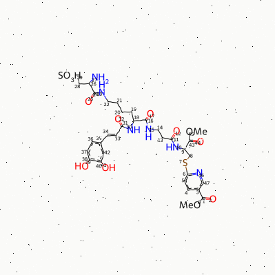 COC(=O)c1ccc(SCC(NC(=O)CCNC(=O)C(CCCCNC(=O)C(N)CS(=O)(=O)O)NC(=O)/C=C/c2ccc(O)c(O)c2)C(=O)OC)nc1